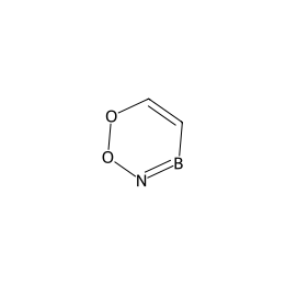 B1=NOOC=C1